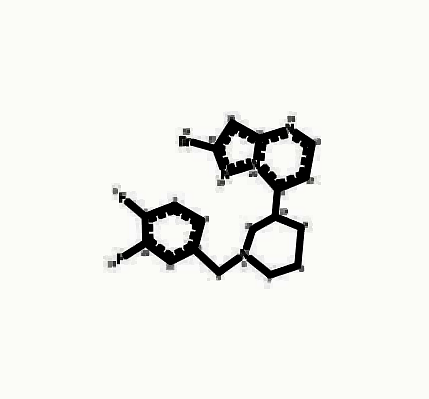 Fc1ccc(CN2CCCC(c3ccnc4cc(Br)nn34)C2)cc1F